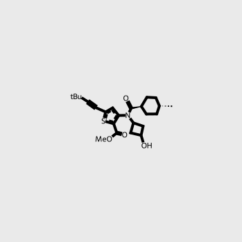 COC(=O)c1sc(C#CC(C)(C)C)cc1N(C(=O)[C@H]1CC[C@H](C)CC1)C1CC(O)C1